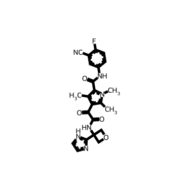 Cc1c(C(=O)C(=O)NC2(c3ncc[nH]3)COC2)c(C)n(C)c1C(=O)Nc1ccc(F)c(C#N)c1